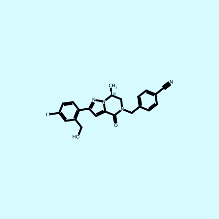 C[C@H]1CN(Cc2ccc(C#N)cc2)C(=O)c2cc(-c3ccc(Cl)cc3CO)nn21